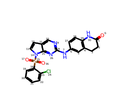 O=C1CCc2cc(Nc3ncc4ccn(S(=O)(=O)c5ccccc5Cl)c4n3)ccc2N1